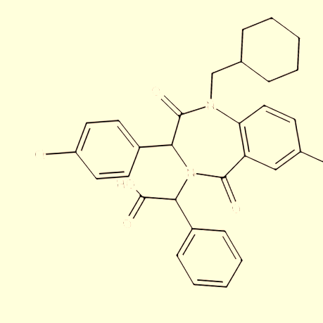 O=C(O)C(c1ccccc1)N1C(=O)c2cc(I)ccc2N(CC2CCCCC2)C(=O)C1c1ccc(Cl)cc1